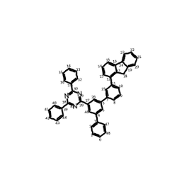 c1ccc(-c2cc(-c3cccc(-c4cccc5c4Cc4ccccc4-5)c3)cc(-c3nc(-c4ccccc4)nc(-c4ccccc4)n3)c2)cc1